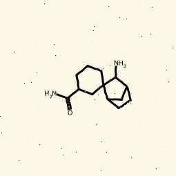 NC(=O)C1CCCC2(C1)C1CCC(C1)C2N